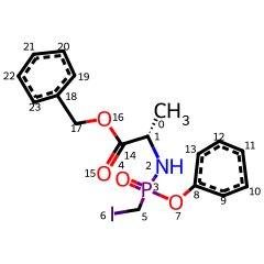 C[C@H](NP(=O)(CI)Oc1ccccc1)C(=O)OCc1ccccc1